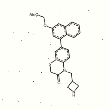 COCOc1cc(-c2ccc3c(c2)SCC(=O)N3CC2CNC2)c2ccccc2c1